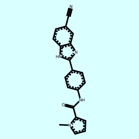 Cn1cccc1C(=O)Nc1ccc(-c2nc3cc(C#N)ccc3[nH]2)cc1